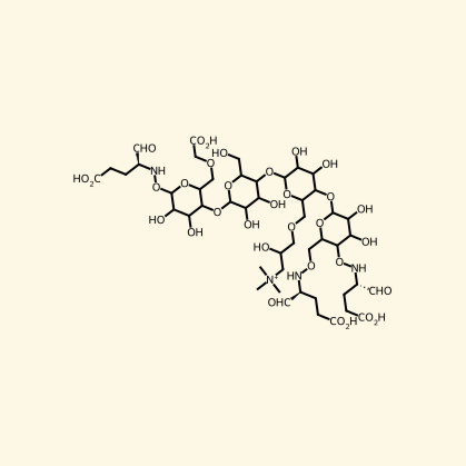 C[N+](C)(C)CC(O)COCC1OC(OC2C(CO)OC(OC3C(COCC(=O)O)OC(ON[C@H](C=O)CCC(=O)O)C(O)C3O)C(O)C2O)C(O)C(O)C1OC1OC(CON[C@H](C=O)CCC(=O)O)C(ON[C@H](C=O)CCC(=O)O)C(O)C1O